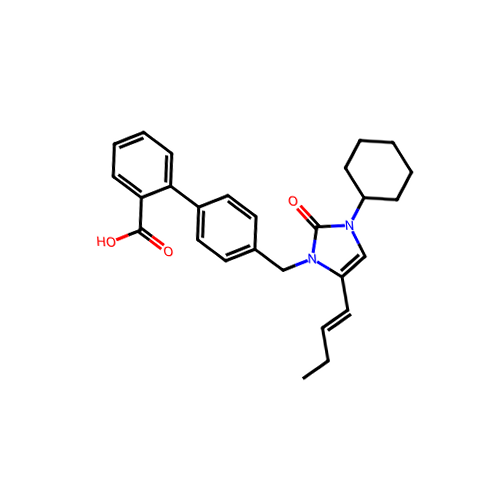 CCC=Cc1cn(C2CCCCC2)c(=O)n1Cc1ccc(-c2ccccc2C(=O)O)cc1